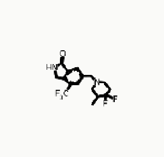 CC1CN(Cc2cc3c(c(C(F)(F)F)c2)CNC3=O)CCC1(F)F